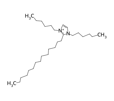 CCCCCCCCCCCCCCc1n(CCCCCC)cc[n+]1CCCCCC